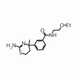 CCOCCNC(=O)c1cccc(C2(C)CCSC(N)=N2)c1